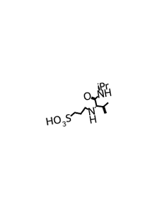 C=C(C)[C@H](NCCCS(=O)(=O)O)C(=O)NC(C)C